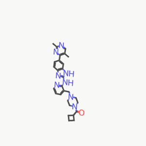 Cc1ncc(C)c(-c2ccc3nc(Nc4ncccc4CN4CCN(C(=O)C5CCC5)CC4)[nH]c3c2)n1